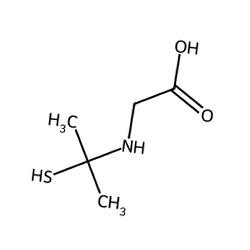 CC(C)(S)NCC(=O)O